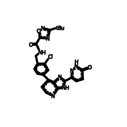 CC(C)(C)c1noc(C(=O)NCc2ccc(-c3ccnc4[nH]c(-c5ccc(=O)[nH]n5)nc34)cc2Cl)n1